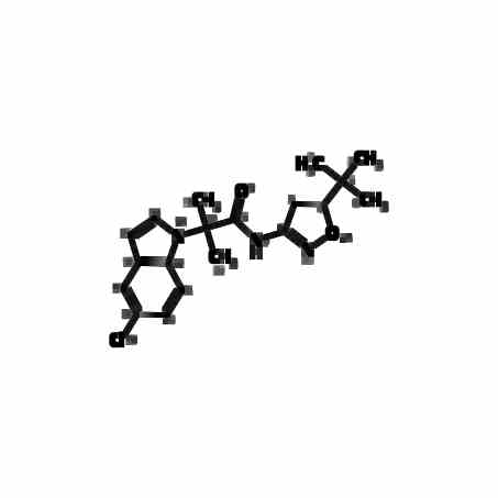 CC(C)(C)C1CC(NC(=O)C(C)(C)n2ccc3cc(Cl)ccc32)=NO1